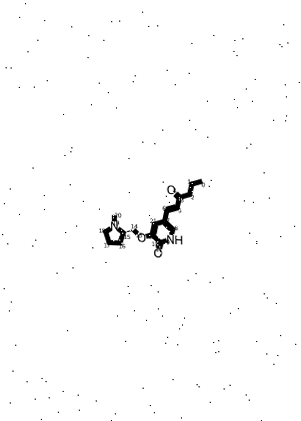 CCCC(=O)C=Cc1c[nH]c(=O)c(OC[C@@H]2CCCN2C)c1